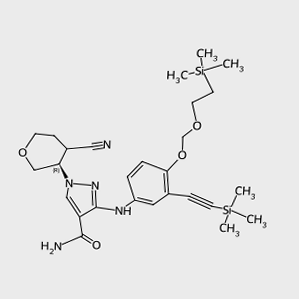 C[Si](C)(C)C#Cc1cc(Nc2nn([C@H]3COCCC3C#N)cc2C(N)=O)ccc1OCOCC[Si](C)(C)C